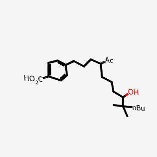 CCCCC(C)(C)C(O)CCCC(CCCc1ccc(C(=O)O)cc1)C(C)=O